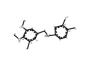 COc1cc(CNc2ccc(C)c(I)c2)cc(C)c1OC